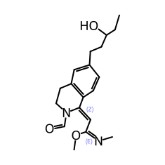 CCC(O)CCc1ccc2c(c1)CCN(C=O)/C2=C\C(=N/C)OC